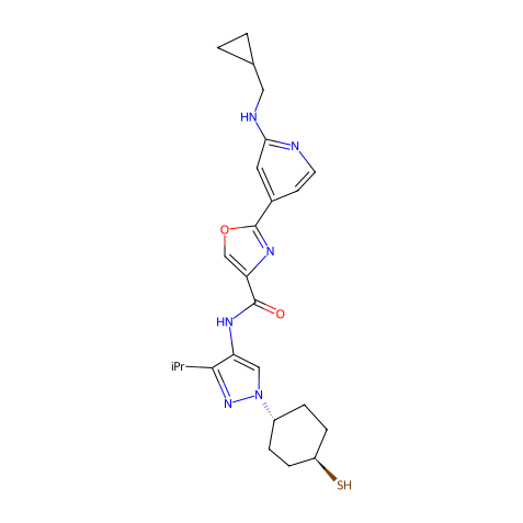 CC(C)c1nn([C@H]2CC[C@H](S)CC2)cc1NC(=O)c1coc(-c2ccnc(NCC3CC3)c2)n1